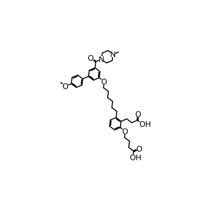 COc1ccc(-c2cc(OCCCCCCc3cccc(OCCCC(=O)O)c3CCC(=O)O)cc(C(=O)N3CCN(C)CC3)c2)cc1